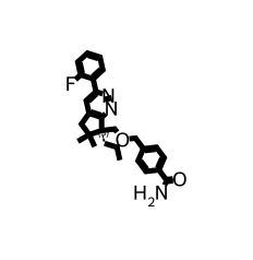 CCC[C@@]1(COCc2ccc(C(N)=O)cc2)c2nnc(-c3ccccc3F)cc2CC1(C)C